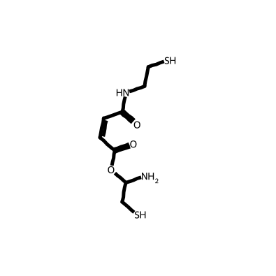 NC(CS)OC(=O)/C=C\C(=O)NCCS